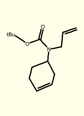 C=CCN(C(=O)OC(C)(C)C)C1CC=CCC1